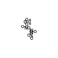 c1ccc(-c2nc(-c3ccc4c(c3)nc(-c3ccccc3)c3cc5c(cc34)C3(c4ccccc4O5)c4ccccc4-c4ccccc43)cc(-c3cccc4c3sc3ccccc34)n2)cc1